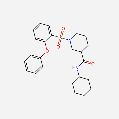 O=C(NC1CCCCC1)C1CCCN(S(=O)(=O)c2ccccc2Oc2ccccc2)C1